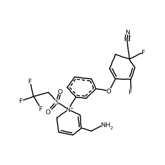 N#CC1(F)C=C(F)C(Oc2cccc([N+]3(S(=O)(=O)CC(F)(F)F)C=C(CN)C=CC3)c2)=CC1